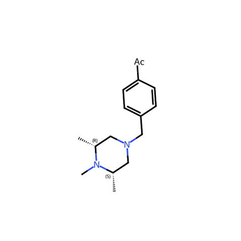 CC(=O)c1ccc(CN2C[C@@H](C)N(C)[C@@H](C)C2)cc1